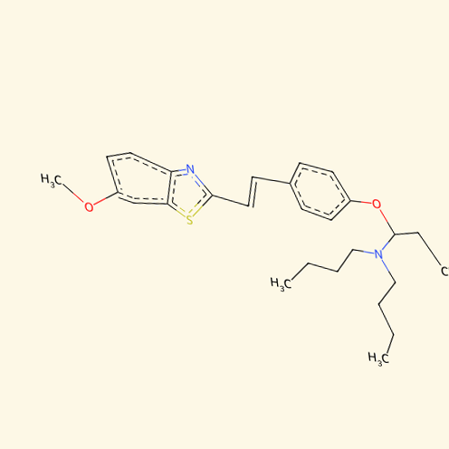 CCCCN(CCCC)C(CC)Oc1ccc(/C=C/c2nc3ccc(OC)cc3s2)cc1